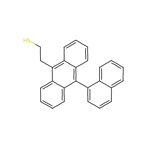 SCCc1c2ccccc2c(-c2cccc3ccccc23)c2ccccc12